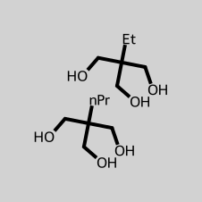 CCC(CO)(CO)CO.CCCC(CO)(CO)CO